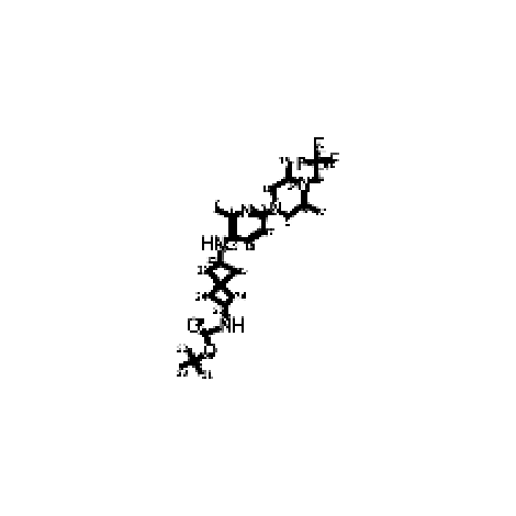 Cc1nc(N2CC(C)N(CC(F)(F)F)C(C)C2)ccc1NC1CC2(CC(NC(=O)OC(C)(C)C)C2)C1